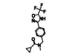 CN(Cc1ccc(C2=NOC(C(F)(F)F)N2)cc1)C(=O)C1CC1